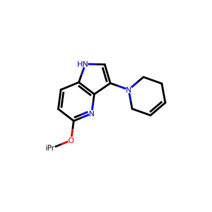 CC(C)Oc1ccc2[nH]cc(N3CC=CCC3)c2n1